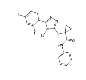 CCn1c(SC2(C(=O)Nc3ccccc3)CC2)nnc1C1CC=C(F)C=C1F